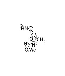 COc1cncc(-c2cc(C(C)n3ccc(N4CCC[C@@H](NCC5CCC5)C4)cc3=O)on2)c1